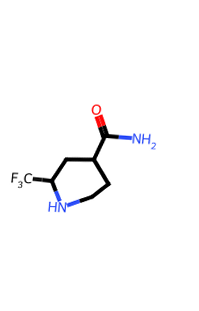 NC(=O)C1CCNC(C(F)(F)F)C1